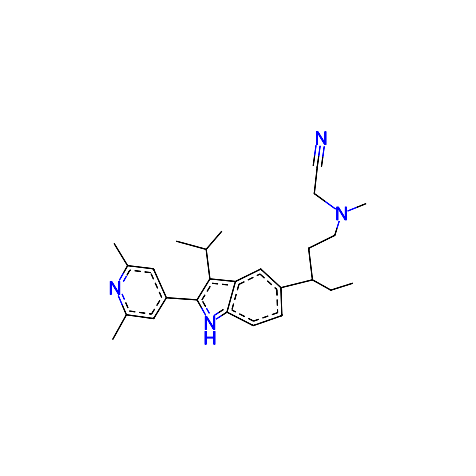 CCC(CCN(C)CC#N)c1ccc2[nH]c(-c3cc(C)nc(C)c3)c(C(C)C)c2c1